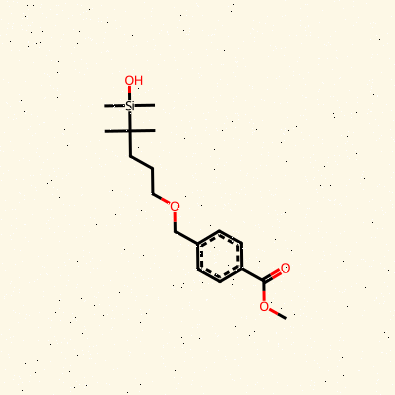 COC(=O)c1ccc(COCCCC(C)(C)[Si](C)(C)O)cc1